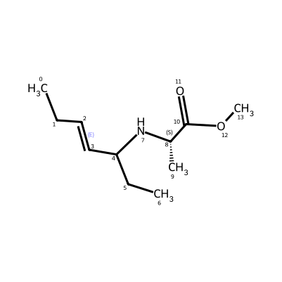 CC/C=C/C(CC)N[C@@H](C)C(=O)OC